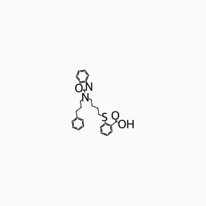 O=C(O)c1ccccc1SCCCCN(CCCc1ccccc1)c1nc2ccccc2o1